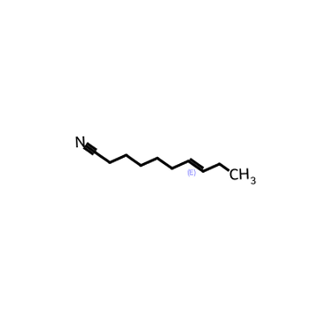 CC/C=C/CCCCCC#N